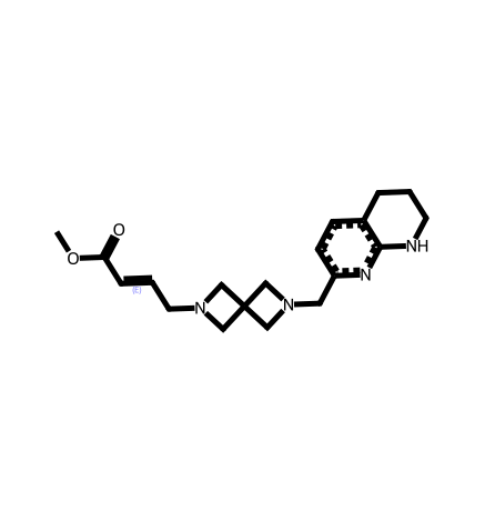 COC(=O)/C=C/CN1CC2(C1)CN(Cc1ccc3c(n1)NCCC3)C2